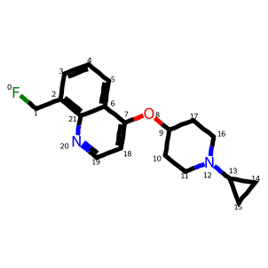 FCc1cccc2c(OC3CCN(C4CC4)CC3)ccnc12